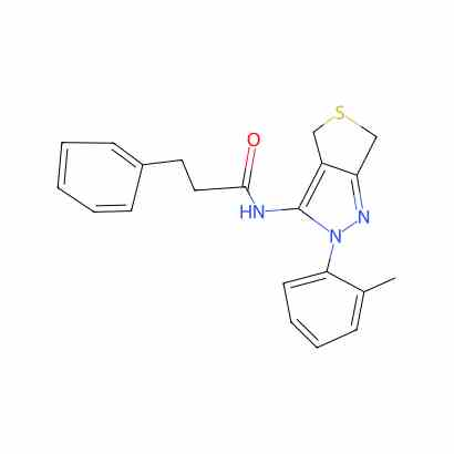 Cc1ccccc1-n1nc2c(c1NC(=O)CCc1ccccc1)CSC2